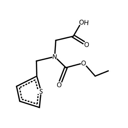 CCOC(=O)N(CC(=O)O)Cc1cccs1